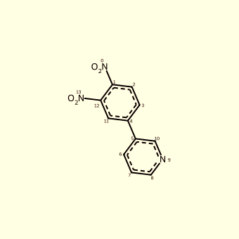 O=[N+]([O-])c1ccc(-c2cccnc2)cc1[N+](=O)[O-]